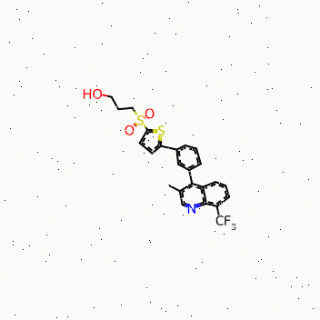 Cc1cnc2c(C(F)(F)F)cccc2c1-c1cccc(-c2ccc(S(=O)(=O)CCCO)s2)c1